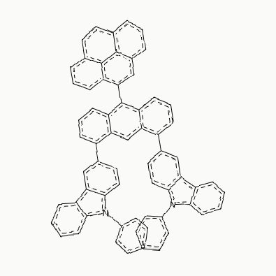 c1ccc(-n2c3ccccc3c3cc(-c4cccc5c(-c6cc7cccc8ccc9cccc6c9c87)c6cccc(-c7ccc8c(c7)c7ccccc7n8-c7ccccc7)c6cc45)ccc32)cc1